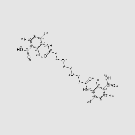 O=C(CCOCCOCCC(=O)Nc1c(I)cc(I)c(C(=O)O)c1I)Nc1c(I)cc(I)c(C(=O)O)c1I